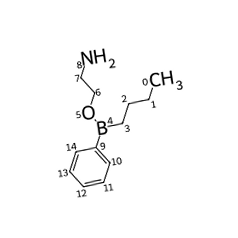 CCCCB(OCCN)c1ccccc1